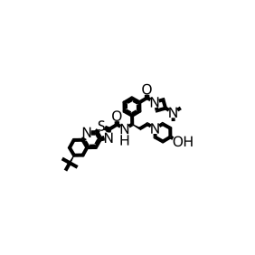 CN(C)C1CN(C(=O)c2cccc([C@@H](CCN3CCC(O)CC3)NC(=O)c3nc4cc5c(nc4s3)CC[C@H](C(C)(C)C)C5)c2)C1